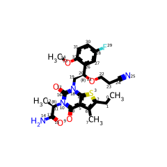 CCc1sc2c(c1C)c(=O)n([C@H](C)C(N)=O)c(=O)n2C[C@H](OCCC#N)c1cc(F)ccc1OC